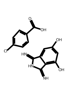 N=C1NC(=N)c2c(O)cc(O)cc21.O=C(O)c1ccc(Cl)cc1